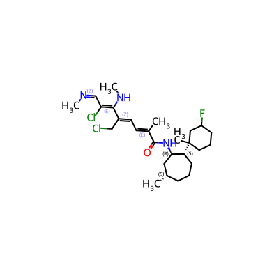 C\N=C/C(Cl)=C(NC)/C(=C/C=C(\C)C(=O)N[C@@H]1C[C@@H](C)CCC[C@H]1C1(C)CCCC(F)C1)CCl